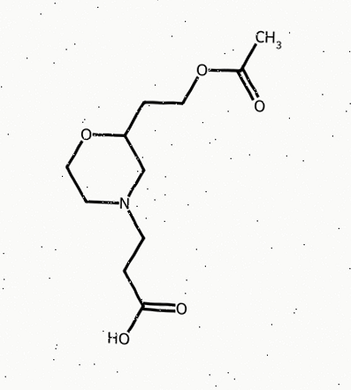 CC(=O)OCCC1CN(CCC(=O)O)CCO1